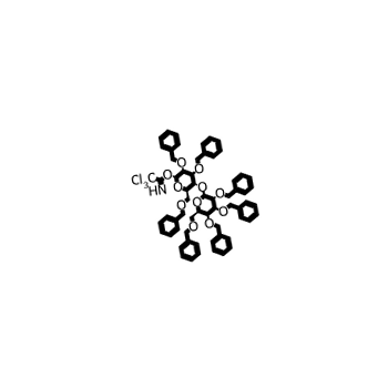 N=C(O[C@H]1O[C@H](COCc2ccccc2)[C@@H](O[C@@H]2O[C@H](COCc3ccccc3)[C@H](OCc3ccccc3)[C@H](OCc3ccccc3)[C@H]2OCc2ccccc2)[C@H](OCc2ccccc2)[C@H]1OCc1ccccc1)C(Cl)(Cl)Cl